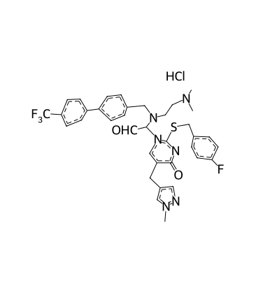 CN(C)CCN(Cc1ccc(-c2ccc(C(F)(F)F)cc2)cc1)C(C=O)n1cc(Cc2cnn(C)c2)c(=O)nc1SCc1ccc(F)cc1.Cl